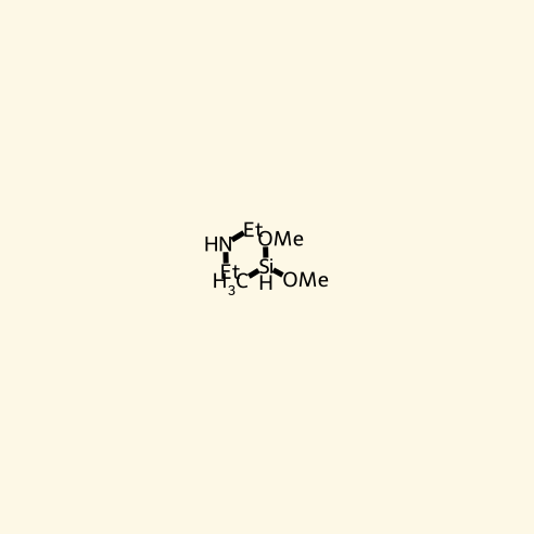 CCNCC.CO[SiH](C)OC